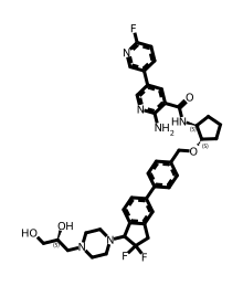 Nc1ncc(-c2ccc(F)nc2)cc1C(=O)N[C@H]1CCC[C@@H]1OCc1ccc(-c2ccc3c(c2)CC(F)(F)C3N2CCN(C[C@H](O)CO)CC2)cc1